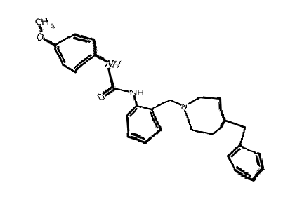 COc1ccc(NC(=O)Nc2ccccc2CN2CCC(Cc3ccccc3)CC2)cc1